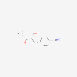 CC(=O)/C(=C\c1ccc(C#N)cc1)C(=O)C1CC1